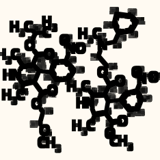 COC(=O)C1=C(C)NC(C)=C(C(=O)OCCN(C)Cc2ccccc2)C1c1cccc([N+](=O)[O-])c1.COCCOC(=O)C1=C(C)NC(C)=C(C(=O)OC(C)C)C1c1cccc([N+](=O)[O-])c1